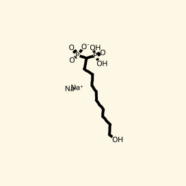 O=P([O-])([O-])C(CCCCCCCCCO)P(=O)(O)O.[Na+].[Na+]